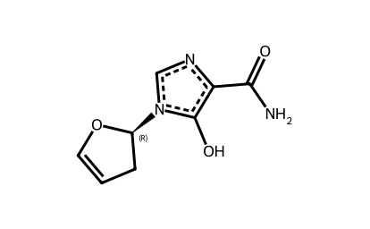 NC(=O)c1ncn([C@H]2CC=CO2)c1O